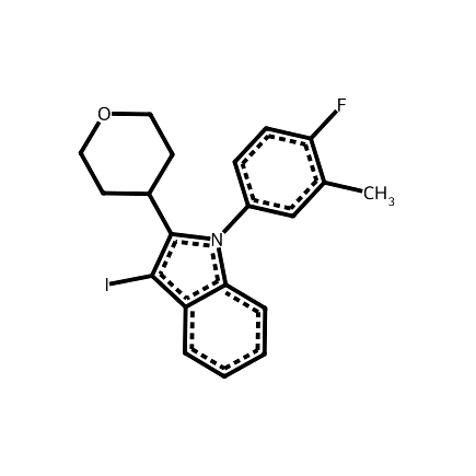 Cc1cc(-n2c(C3CCOCC3)c(I)c3ccccc32)ccc1F